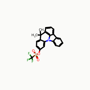 CC1(C)c2ccc(OS(=O)(=O)C(F)(F)F)cc2-n2c3ccccc3c3cccc1c32